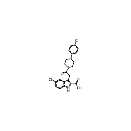 O=C(O)c1[nH]c2ccc(Cl)cc2c1CC(=O)N1CCN(c2ccc(Cl)cc2)CC1